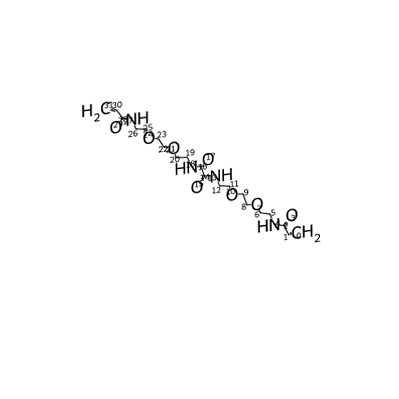 C=CC(=O)NCCOCCOCCNC(=O)C(=O)NCCOCCOCCNC(=O)C=C